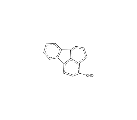 O=Cc1ccc2c3c(cccc13)-c1ccccc1-2